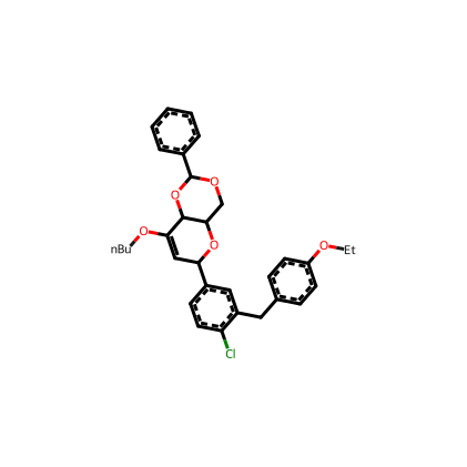 CCCCOC1=CC(c2ccc(Cl)c(Cc3ccc(OCC)cc3)c2)OC2COC(c3ccccc3)OC12